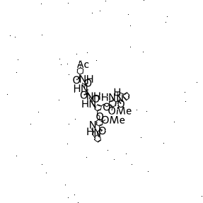 COc1cc2c(cc1OCc1cc(COc3cc4c(cc3OC)C(=O)N3c5ccccc5C[C@H]3CN4)cc(NC(=O)CNC(=O)CNC(=O)CNC(=O)C3CCC(C(C)=O)CC3)c1)N=C[C@@H]1Cc3ccccc3N1C2=O